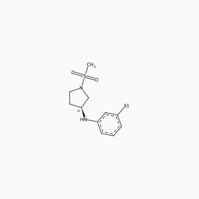 CCc1cccc(N[C@H]2CCN(S(C)(=O)=O)C2)c1